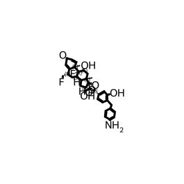 C[C@]12C=CC(=O)C=C1[C@@H](CF)C[C@H]1C3C[C@H]4O[C@@H](c5ccc(Cc6ccc(N)cc6)c(O)c5)O[C@@]4(C(=O)CO)[C@@]3(C)C[C@H](O)[C@@]12F